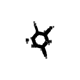 O=c1[nH]cc(F)c(=O)[nH]1.[H]